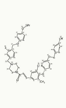 Cc1cc(/C=C/C(=O)N2CCN(Cc3ccc(COc4ccc(OC(C)C)cc4)c(F)c3)CC2)cc(Cl)c1Oc1ccc(OCc2ccc(C#N)cc2)cn1